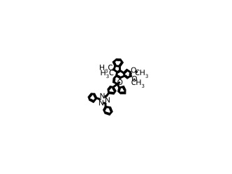 COc1cc2c3c(c4c(c2cc1OC)-c1ccccc1C4(C)C)C=CC(c1ccccc1)(c1ccc(-c2nc(-c4ccccc4)nc(-c4ccccc4)n2)cc1)O3